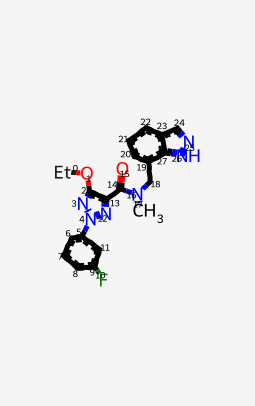 CCOc1nn(-c2cccc(F)c2)nc1C(=O)N(C)Cc1cccc2cn[nH]c12